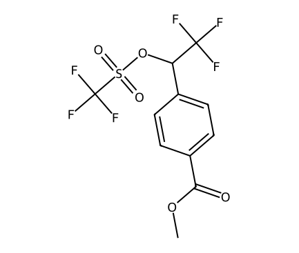 COC(=O)c1ccc(C(OS(=O)(=O)C(F)(F)F)C(F)(F)F)cc1